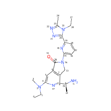 CCN(C)c1cc2c(c([C@H](C)N)n1)CN(c1cccc(-c3nnc(C)n3CC)n1)C2=O